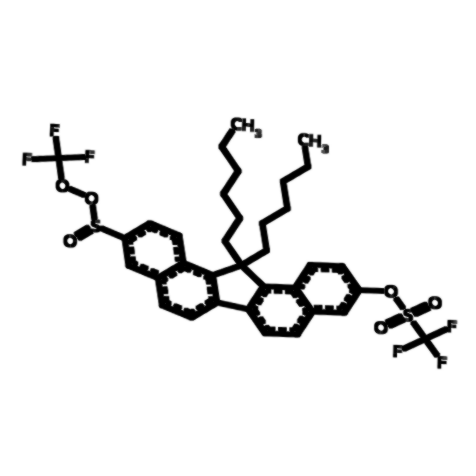 CCCCCCC1(CCCCCC)c2c(ccc3cc(OS(=O)(=O)C(F)(F)F)ccc23)-c2ccc3cc(S(=O)OOC(F)(F)F)ccc3c21